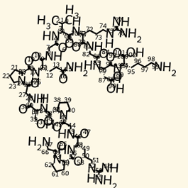 CC(C)[C@H](NC(=O)CNC(=O)[C@H](CCC(N)=O)NC(=O)[C@@H]1CCCN1C(=O)CNC(=O)[C@H](CO)NC(=O)[C@@H]1CCCN1C(=O)CNC(=O)[C@H](CCCNC(=N)N)NC(=O)[C@@H]1CCCN1C(=O)CN)C(=O)N[C@@H](CCCNC(=N)N)C(=O)NCC(=O)N[C@@H](CC(=O)O)C(=O)N[C@@H](CCCCN)C(=O)O